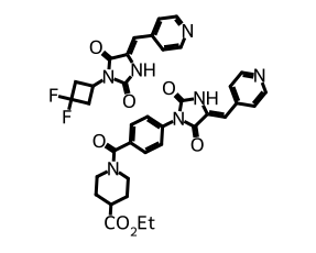 CCOC(=O)C1CCN(C(=O)c2ccc(N3C(=O)N/C(=C\c4ccncc4)C3=O)cc2)CC1.O=C1N/C(=C\c2ccncc2)C(=O)N1C1CC(F)(F)C1